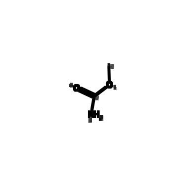 [CH2]OC(N)=O